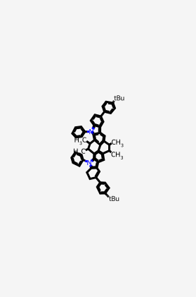 CC1c2cc3c4c(n(-c5ccccc5)c3c3c2-c2c(cc5c6cc(-c7ccc(C(C)(C)C)cc7)ccc6n(-c6ccccc6)c5c2C(C)C3C)C1C)CCC(c1ccc(C(C)(C)C)cc1)=C4